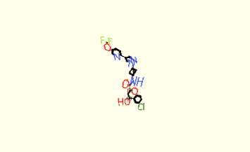 O=C(NC12CC(n3cc(-c4ccc(OC(F)F)cn4)cn3)(C1)C2)[C@H]1C[C@@H](O)c2cc(Cl)ccc2O1